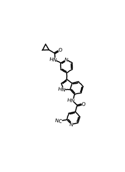 N#Cc1cc(C(=O)Nc2cccc3c(-c4ccnc(NC(=O)C5CC5)c4)c[nH]c23)ccn1